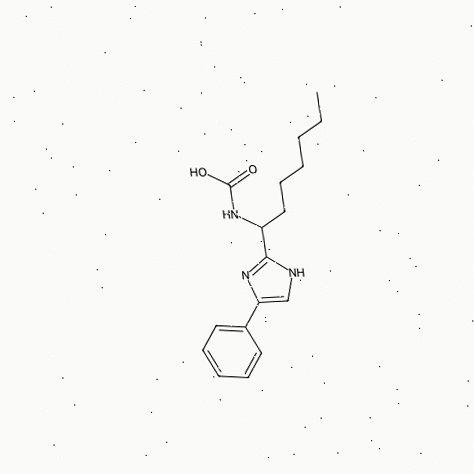 CCCCCCC(NC(=O)O)c1nc(-c2ccccc2)c[nH]1